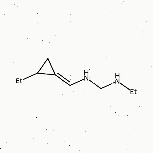 CCNCN/C=C1\CC1CC